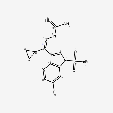 CCCCS(=O)(=O)n1cc(/C(=N\NC(=N)N)C2CC2)c2ccc(F)cc21